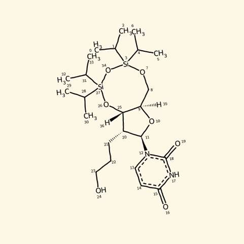 CC(C)[Si]1(C(C)C)OC[C@H]2O[C@@H](n3ccc(=O)[nH]c3=O)[C@H](CCCO)[C@@H]2O[Si](C(C)C)(C(C)C)O1